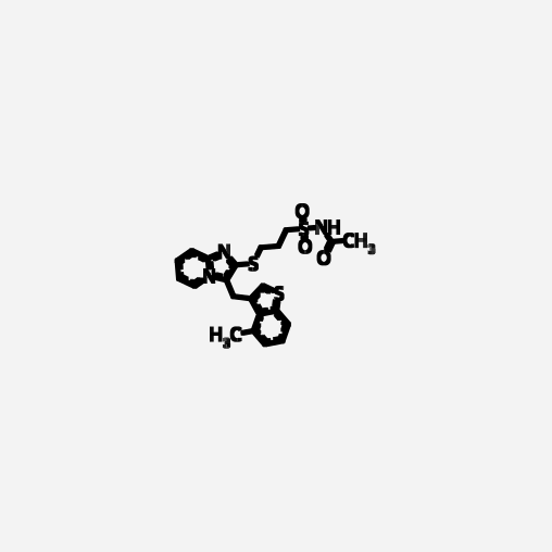 CC(=O)NS(=O)(=O)CCCSc1nc2ccccn2c1Cc1csc2cccc(C)c12